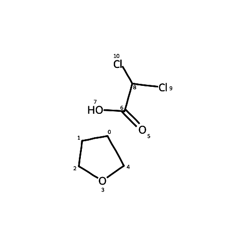 C1CCOC1.O=C(O)C(Cl)Cl